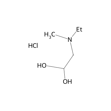 CCN(C)CC(O)O.Cl